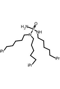 CC(C)CCCCCNP(N)(=O)N(CCCCCC(C)C)CCCCCC(C)C